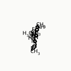 CCN1CCN(Cc2ccc(Nc3ncnc(Oc4ccc5[nH]c(C)cc5c4F)c3C(=O)N(C)C)nc2)CC1